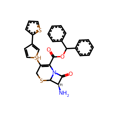 N[C@@H]1C(=O)N2C(C(=O)OC(c3ccccc3)c3ccccc3)=C([SH]3C=CC(c4cccs4)=C3)CSC12